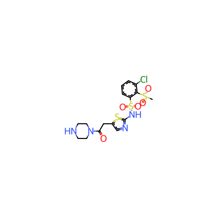 CS(=O)(=O)c1c(Cl)cccc1S(=O)(=O)Nc1ncc(CC(=O)N2CCNCC2)s1